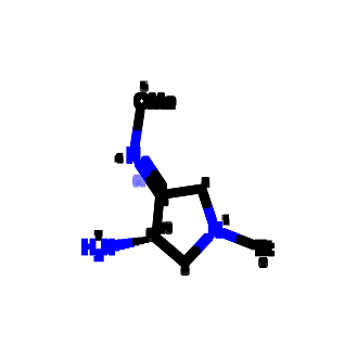 CCN1C/C(=N\OC)[C@@H](N)C1